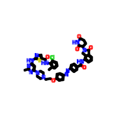 Cc1nc(Nc2ncc(C(=O)Nc3c(C)cccc3Cl)s2)cc(N2CCN(CCOc3ccc(/N=N/c4ccc(C(=O)Nc5cccc6c5CN(C5CCC(=O)NC5=O)C6=O)cc4)cc3)CC2)n1